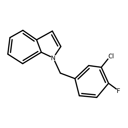 Fc1ccc(Cn2ccc3ccccc32)cc1Cl